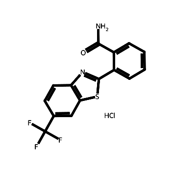 Cl.NC(=O)c1ccccc1-c1nc2ccc(C(F)(F)F)cc2s1